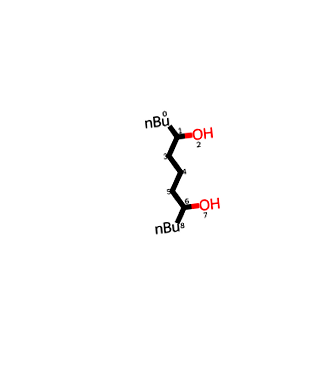 CCCCC(O)CCCC(O)CCCC